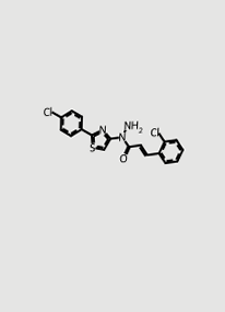 NN(C(=O)C=Cc1ccccc1Cl)c1csc(-c2ccc(Cl)cc2)n1